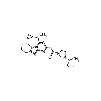 CN(c1nc(CC(=O)N2CC[C@H](N(C)C)C2)nc2sc3c(c12)CCCC3)C1CC1